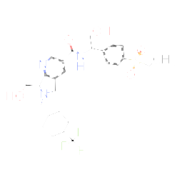 CCS(=O)(=O)c1ccc(C(CO)NC(=O)c2cnc3c(c2)CN(C[C@H]2CC[C@H](C(F)(F)F)CC2)[C@H]3CO)cc1